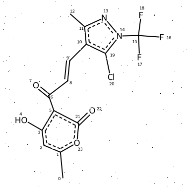 Cc1cc(O)c(C(=O)C=Cc2c(C)nn(C(F)(F)F)c2Cl)c(=O)o1